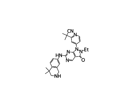 CCn1c(=O)c2cnc(Nc3ccc4c(c3)CNCC4(C)C)nc2n1-c1ccnc(C(C)(C)C#N)c1